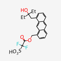 CCC(O)(CC)Cc1cccc2cc3cccc(COC(=O)C(F)(F)S(=O)(=O)O)c3cc12